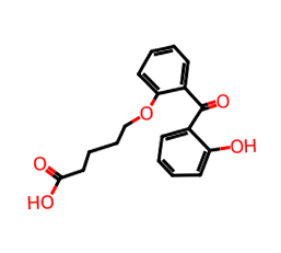 O=C(O)CCCCOc1ccccc1C(=O)c1ccccc1O